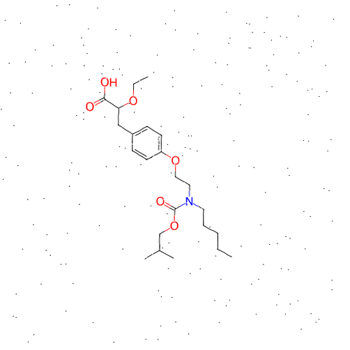 CCCCCN(CCOc1ccc(CC(OCC)C(=O)O)cc1)C(=O)OCC(C)C